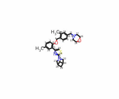 Cc1ccc(OCc2ccc(CN3CCOCC3)cc2C)c(-c2csc(N3CC4CC(C4)C3)n2)c1